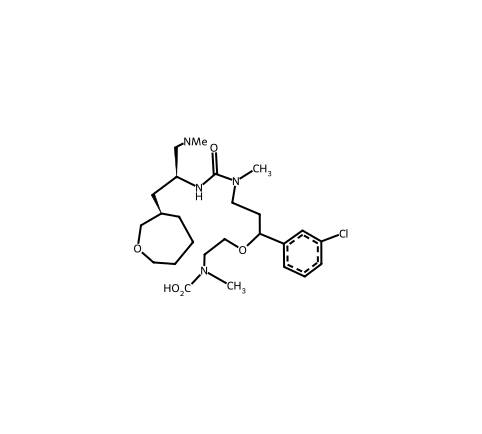 CNC[C@H](C[C@H]1CCCCOC1)NC(=O)N(C)CCC(OCCN(C)C(=O)O)c1cccc(Cl)c1